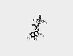 Cc1nc(C(=N)CCCC(C)(C)C#N)sc1-c1ccc(S)c(Cl)c1Cl